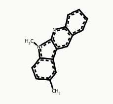 Cc1ccc2c(c1)c1cc3ccccc3nc1n2C